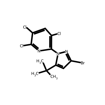 CC(C)(C)c1cc(Br)nn1-c1nc(Cl)c(Cl)cc1Cl